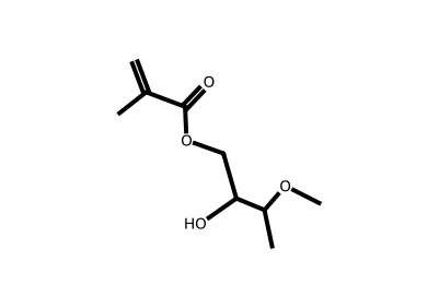 C=C(C)C(=O)OCC(O)C(C)OC